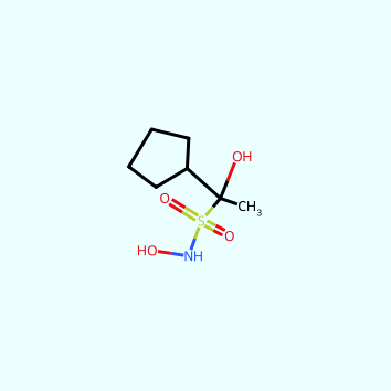 CC(O)(C1CCCC1)S(=O)(=O)NO